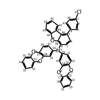 Clc1ccc(-c2ccc(N(c3ccc4c(c3)Oc3ccccc3O4)c3ccc4c(c3)Oc3ccccc3O4)c3oc4ccccc4c23)cc1